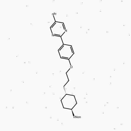 CCCCCCCCC[C@H]1CC[C@H](CCCOc2ccc(-c3ncc(CCC)cn3)cc2)CC1